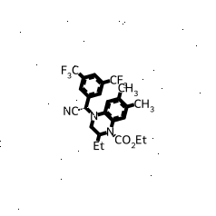 CCOC(=O)N1c2cc(C)c(C)cc2N([C@H](C#N)c2cc(C(F)(F)F)cc(C(F)(F)F)c2)CC1CC